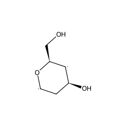 OC[C@H]1[CH][C@@H](O)C[CH]O1